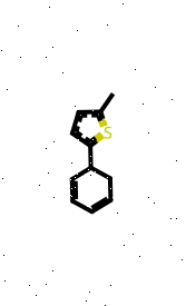 Cc1ccc(C2C=CC=CC2)s1